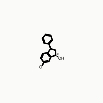 O[C@@H]1CC(c2ccccc2)c2ccc(Cl)cc21